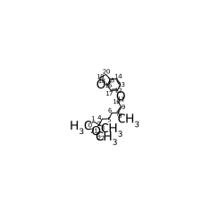 CCC(C)(CCCC(C)=CCOc1ccc2c(c1)OCC2)OC